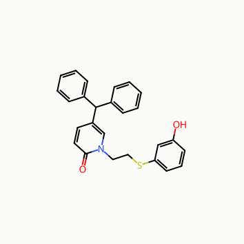 O=c1ccc(C(c2ccccc2)c2ccccc2)cn1CCSc1cccc(O)c1